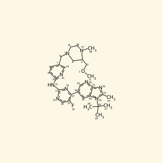 COCC1CN(Cc2ccc(Nc3ncc(F)c(-c4cnc5nc(C)n(C(C)(C)C)c5c4)n3)nc2)CCN1C